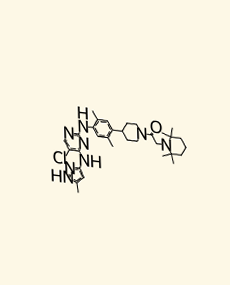 Cc1cc(Nc2nc(Nc3cc(C)c(C4CCN(C(=O)CN5C(C)(C)CCCC5(C)C)CC4)cc3C)ncc2Cl)n[nH]1